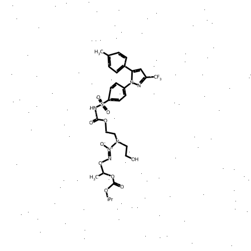 Cc1ccc(-c2cc(C(F)(F)F)nn2-c2ccc(S(=O)(=O)NC(=O)OCCN(CCO)[N+]([O-])=NOC(C)OC(=O)OC(C)C)cc2)cc1